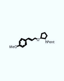 CCCCC[C@H]1CCC[C@H]1OC/C=C/c1ccc(OC)cc1